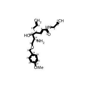 C#CCNC(=O)/C=C/[C@@H](CC=C)[C@H](O)[C@H](N)COCc1ccc(OC)cc1